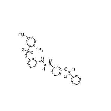 Cc1ccc(C)c(S(=O)(=O)Oc2cccc(NC(=O)Nc3cccc(OS(=O)(=O)c4ccccc4)c3)c2)c1